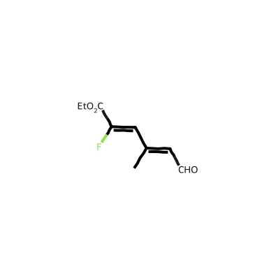 CCOC(=O)/C(F)=C/C(C)=C/C=O